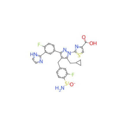 N[S+]([O-])c1ccc(Cc2c(-c3ccc(F)c(-c4ncc[nH]4)c3)nn(-c3nc(C(=O)O)cs3)c2CC2CC2)cc1F